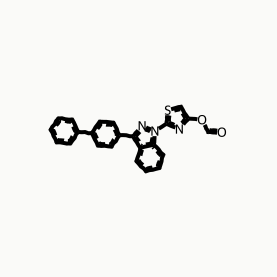 O=COc1csc(-n2nc(-c3ccc(-c4ccccc4)cc3)c3ccccc32)n1